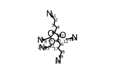 N#CCCCC(OCC#N)C(OCC#N)C(CCCC#N)OCC#N